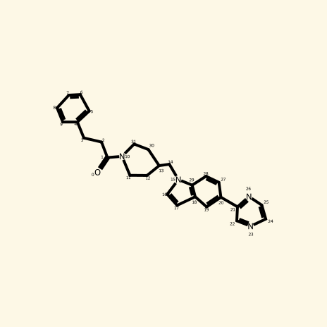 O=C(CCc1ccccc1)N1CCC(Cn2ccc3cc(-c4cnccn4)ccc32)CC1